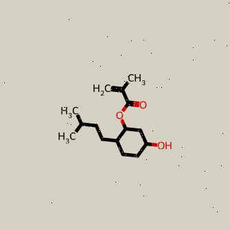 C=C(C)C(=O)OC1CC(O)CCC1CCC(C)C